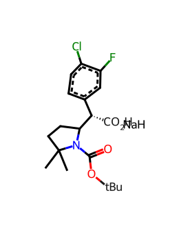 CC(C)(C)OC(=O)N1C([C@@H](C(=O)O)c2ccc(Cl)c(F)c2)CCC1(C)C.[NaH]